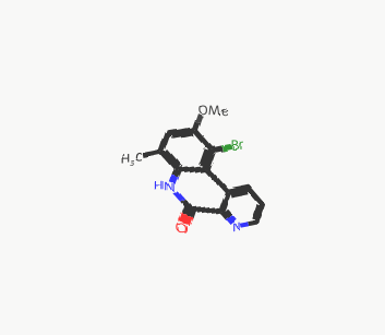 COc1cc(C)c2[nH]c(=O)c3ncccc3c2c1Br